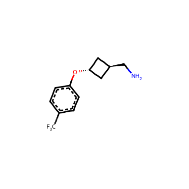 NC[C@H]1C[C@H](Oc2ccc(C(F)(F)F)cc2)C1